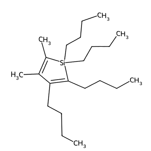 CCCCC1=C(CCCC)[Si](CCCC)(CCCC)C(C)=C1C